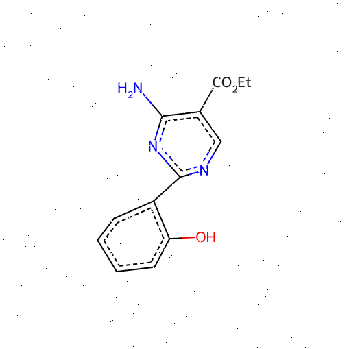 CCOC(=O)c1cnc(-c2ccccc2O)nc1N